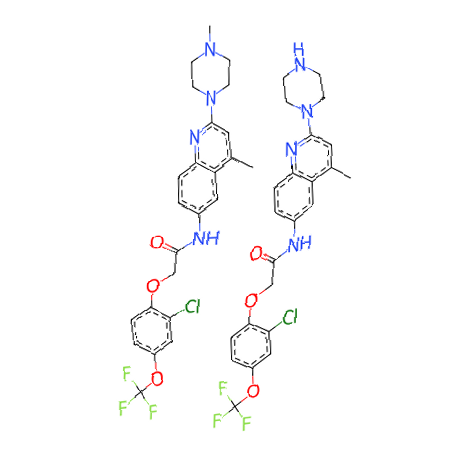 Cc1cc(N2CCN(C)CC2)nc2ccc(NC(=O)COc3ccc(OC(F)(F)F)cc3Cl)cc12.Cc1cc(N2CCNCC2)nc2ccc(NC(=O)COc3ccc(OC(F)(F)F)cc3Cl)cc12